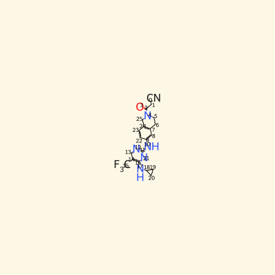 N#CCC(=O)N1CCc2cc(Nc3ncc(C(F)(F)F)c(NC4CC4)n3)ccc2C1